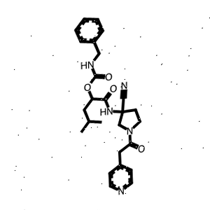 CC(C)CC(OC(=O)NCc1ccccc1)C(=O)NC1(C#N)CCN(C(=O)Cc2ccncc2)C1